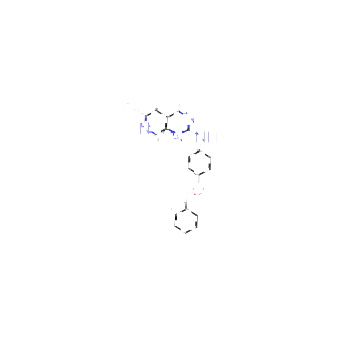 Clc1cc2cnc(Nc3ccc(OCc4ccccc4)cc3)nc2cn1